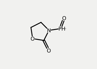 O=[PH]N1CCOC1=O